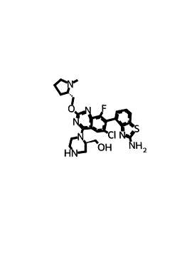 CN1CCC[C@H]1COc1nc(N2CCNC[C@@H]2CO)c2cc(Cl)c(-c3cccc4sc(N)nc34)c(F)c2n1